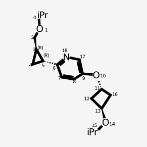 CC(C)OC[C@@H]1C[C@H]1c1ccc(O[C@H]2C[C@H](OC(C)C)C2)cn1